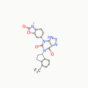 Cn1c(=O)oc2cc(-n3c(=O)n(C4CCc5c4cccc5C(F)(F)F)c(=O)c4nc[nH]c43)ccc21